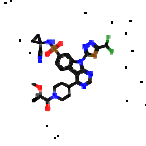 CO[C@H](C)C(=O)N1CCC(c2ncnc3c2c2ccc(S(=O)(=O)NC4(C#N)CC4)cc2n3-c2nnc(C(F)F)s2)CC1